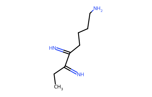 CCC(=N)C(=N)CCCCN